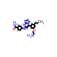 CCCc1cc(OCCN)cc(-c2cc(Nc3ccc(C(N)=O)cc3)nc3ncnn23)c1